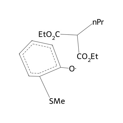 CCCC(C(=O)OCC)C(=O)OCC.CSc1ccccc1[O]